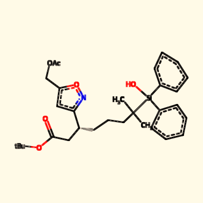 CC(=O)OCc1cc([C@H](CCCC(C)(C)[Si](O)(c2ccccc2)c2ccccc2)CC(=O)OC(C)(C)C)no1